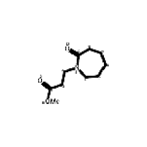 COC(=O)CCN1CCCCCC1=O